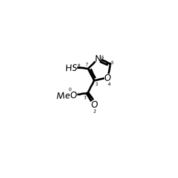 COC(=O)c1ocnc1S